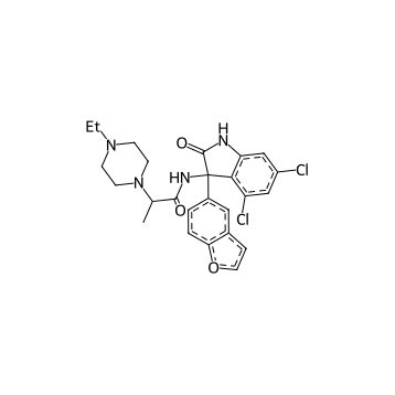 CCN1CCN(C(C)C(=O)NC2(c3ccc4occc4c3)C(=O)Nc3cc(Cl)cc(Cl)c32)CC1